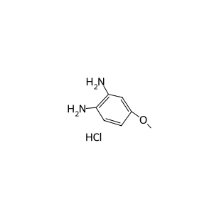 COc1ccc(N)c(N)c1.Cl